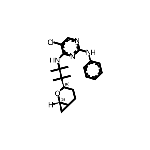 CC(C)(Nc1nc(Nc2ccccc2)ncc1Cl)C(C)(C)[C@H]1CCC2C[C@@H]2O1